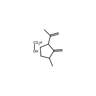 C=C(C)C1CCC(C)C1=C.O=C(O)O